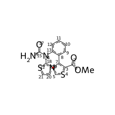 COC(=O)c1sccc1-c1ccccc1N(C(N)=O)c1nccs1